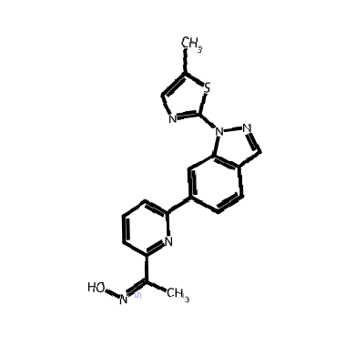 C/C(=N/O)c1cccc(-c2ccc3cnn(-c4ncc(C)s4)c3c2)n1